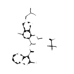 CCOc1c(C(C)NC(=O)c2c(N)nn3cccnc23)cc(Cl)c2cn(CC(C)C)nc12.O=C(O)C(F)(F)F